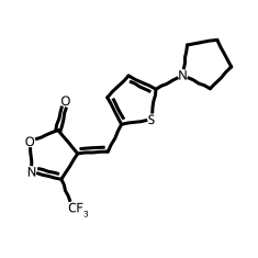 O=C1ON=C(C(F)(F)F)/C1=C/c1ccc(N2CCCC2)s1